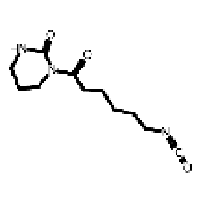 O=C=NCCCCCC(=O)N1CCCNC1=O